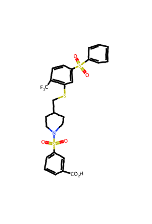 O=C(O)c1cccc(S(=O)(=O)N2CCC(CSc3cc(S(=O)(=O)c4ccccc4)ccc3C(F)(F)F)CC2)c1